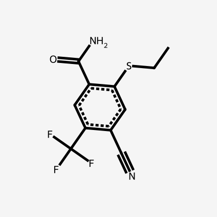 CCSc1cc(C#N)c(C(F)(F)F)cc1C(N)=O